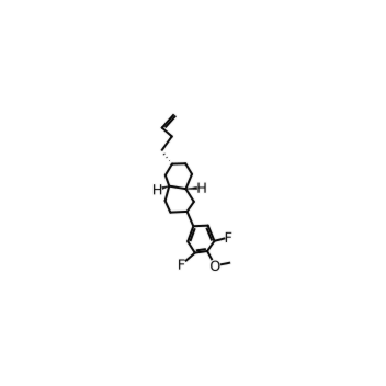 C=CCC[C@@H]1CC[C@@H]2CC(c3cc(F)c(OC)c(F)c3)CC[C@@H]2C1